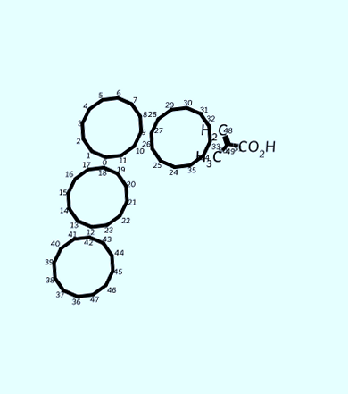 C1CCCCCCCCCCC1.C1CCCCCCCCCCC1.C1CCCCCCCCCCC1.C1CCCCCCCCCCC1.C=C(C)C(=O)O